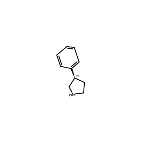 [c]1ccc([C@H]2CCNC2)cc1